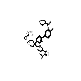 CCN(c1cc(-c2ccc3c(c2)N(Cc2c(C)cc(C)[nH]c2=O)CC32CCOCC2)ccc1C)C1CCOCC1.NC=O